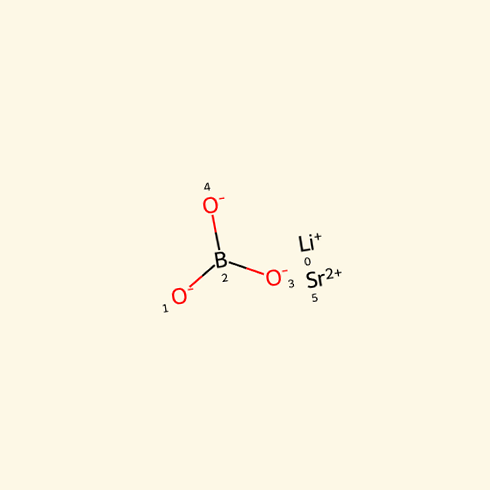 [Li+].[O-]B([O-])[O-].[Sr+2]